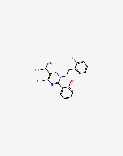 CC1=C(C(C)C)CN(CCc2ccccc2F)C(c2ccccc2O)=N1